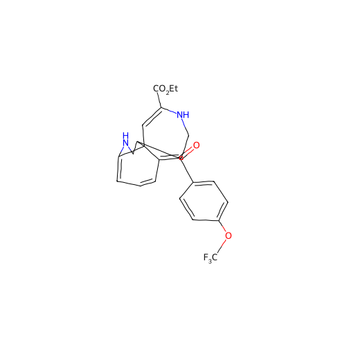 CCOC(=O)C1=CC23C(=CCN1)C=CC=C2NCC3C(=O)c1ccc(OC(F)(F)F)cc1